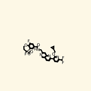 O=C(NCc1cc2nc(-c3ccc(C(F)F)nc3OCC3CC3)ccc2cn1)c1cc(F)c2c(c1)S(=O)(=O)[C@@H](F)CCO2